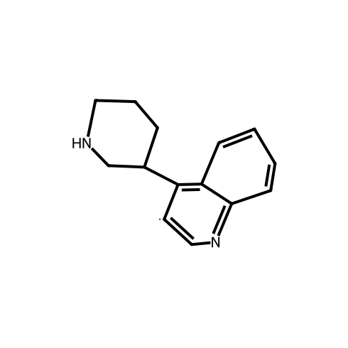 [c]1cnc2ccccc2c1C1CCCNC1